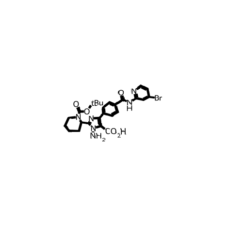 CC(C)(C)OC(=O)N1CCCCC1c1nc(-c2ccc(C(=O)Nc3cc(Br)ccn3)cc2)c(C(=O)O)n1N